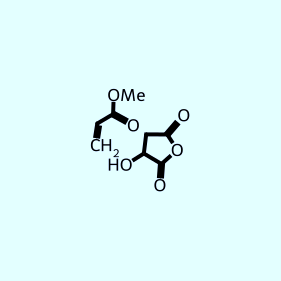 C=CC(=O)OC.O=C1CC(O)C(=O)O1